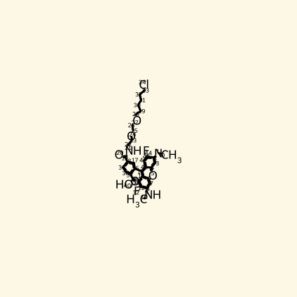 CN=c1cc2oc3cc(NC)c(F)cc3c(-c3cc(C(=O)NCCOCCOCCCCCCCl)ccc3C(=O)O)c-2cc1F